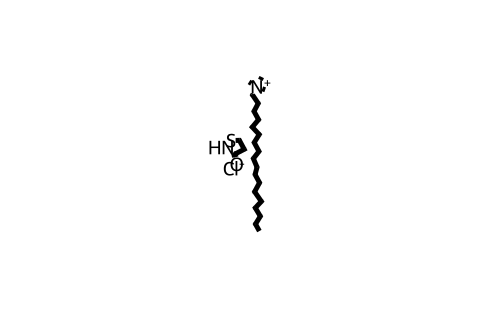 CCCCCCCCCCCCCCCCCC[N+](C)(C)C.O=C1CCSN1.[Cl-]